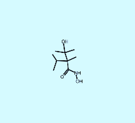 CC(C)C(C)(C(=O)NO)C(C)(C)O